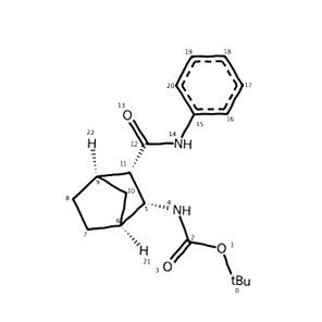 CC(C)(C)OC(=O)N[C@@H]1[C@H]2CC[C@H](C2)[C@@H]1C(=O)Nc1ccccc1